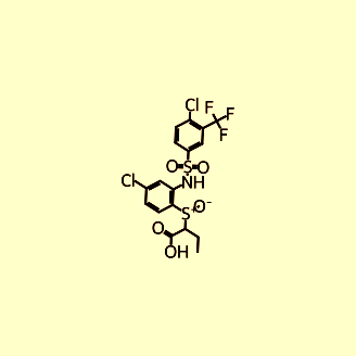 CCC(C(=O)O)[S+]([O-])c1ccc(Cl)cc1NS(=O)(=O)c1ccc(Cl)c(C(F)(F)F)c1